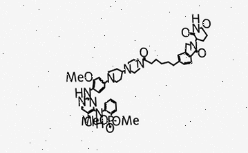 COc1cc(N2CCC(N3CCN(C(=O)CCCCCc4ccc5c(c4)CN(C4CCC(=O)NC4=O)C5=O)CC3)CC2)ccc1Nc1ncc(Cl)c(Nc2ccccc2P(=O)(OC)OC)n1